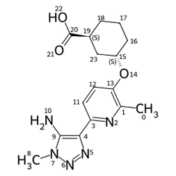 Cc1nc(-c2nnn(C)c2N)ccc1O[C@H]1CCC[C@H](C(=O)O)C1